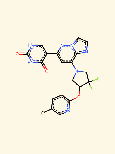 Cc1ccc(OC2CN(c3cc(-c4c[nH]c(=O)[nH]c4=O)nn4ccnc34)CC2(F)F)nc1